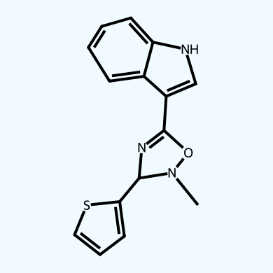 CN1OC(c2c[nH]c3ccccc23)=NC1c1cccs1